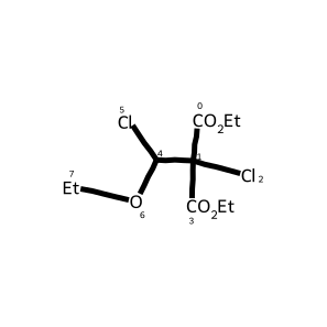 CCOC(=O)C(Cl)(C(=O)OCC)C(Cl)OCC